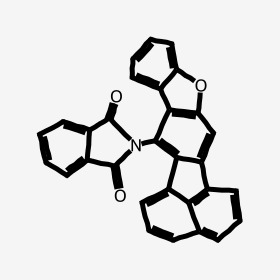 O=C1c2ccccc2C(=O)N1c1c2c(cc3oc4ccccc4c13)-c1cccc3cccc-2c13